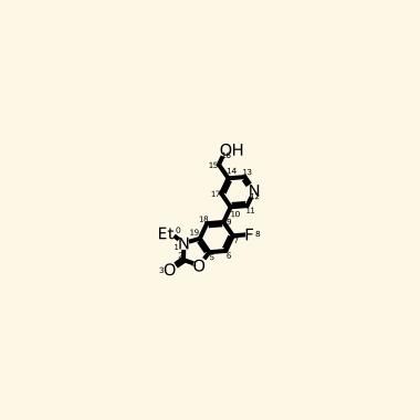 CCn1c(=O)oc2cc(F)c(-c3cncc(CO)c3)cc21